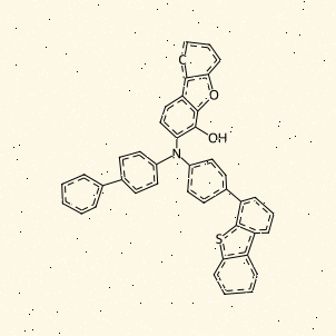 Oc1c(N(c2ccc(-c3ccccc3)cc2)c2ccc(-c3cccc4c3sc3ccccc34)cc2)ccc2c1oc1ccccc12